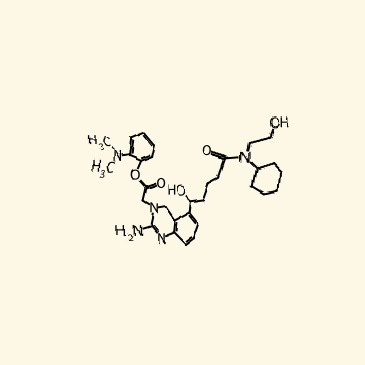 CN(C)c1ccccc1OC(=O)CN1Cc2c(cccc2C(O)CCCC(=O)N(CCO)C2CCCCC2)N=C1N